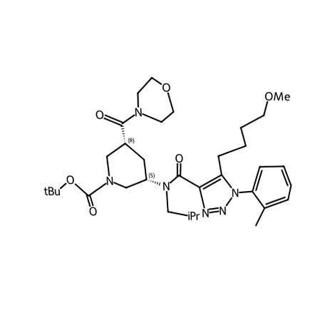 COCCCCc1c(C(=O)N(CC(C)C)[C@H]2C[C@@H](C(=O)N3CCOCC3)CN(C(=O)OC(C)(C)C)C2)nnn1-c1ccccc1C